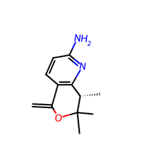 C=C1OC(C)(C)[C@@H](C)c2nc(N)ccc21